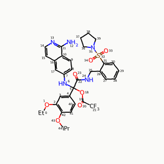 CCOc1cc(C(Nc2ccc3c(N)nccc3c2)(OC(=O)C(F)(F)F)C(=O)NCc2ccccc2S(=O)(=O)N2CCCC2)ccc1OC(C)C